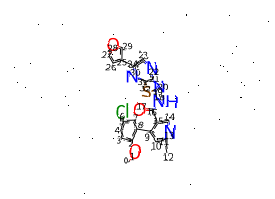 COc1ccc(Cl)cc1-c1cc(C)ncc1C(=O)Nc1nc2ncc(-c3ccoc3)nc2s1